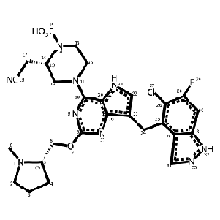 CN1CCC[C@H]1COc1nc(N2CCN(C(=O)O)[C@@H](CC#N)C2)c2[nH]cc(Cc3c(Cl)c(F)cc4[nH]ncc34)c2n1